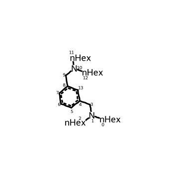 CCCCCCN(CCCCCC)Cc1cccc(CN(CCCCCC)CCCCCC)c1